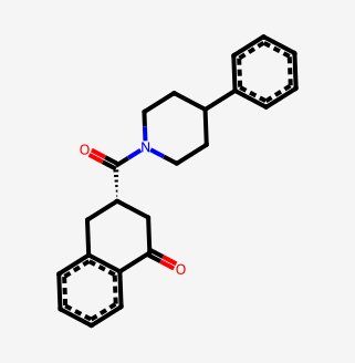 O=C1C[C@@H](C(=O)N2CCC(c3ccccc3)CC2)Cc2ccccc21